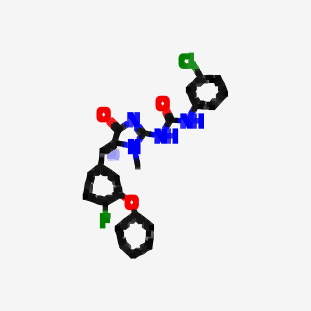 CN1C(NC(=O)Nc2cccc(Cl)c2)=NC(=O)/C1=C/c1ccc(F)c(Oc2ccccc2)c1